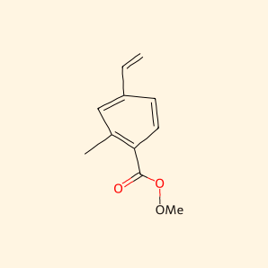 C=Cc1ccc(C(=O)OOC)c(C)c1